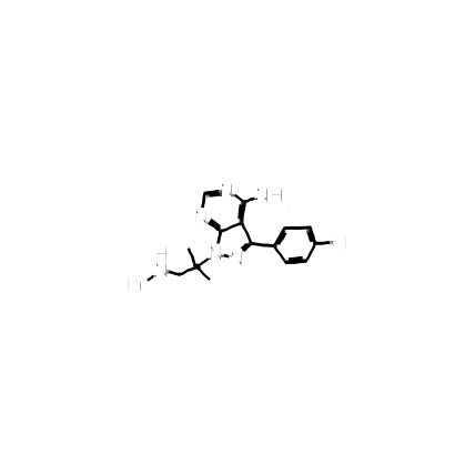 CC(C)(CNBr)n1nc(-c2ccc(Cl)cc2)c2c(N)ncnc21